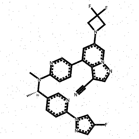 C[C@@H](c1ccc(-n2cc(F)cn2)nc1)N(C)c1ccc(-c2cc(N3CC(F)(F)C3)cn3ncc(C#N)c23)cn1